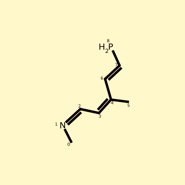 C\N=C/C=C(C)\C=C\P